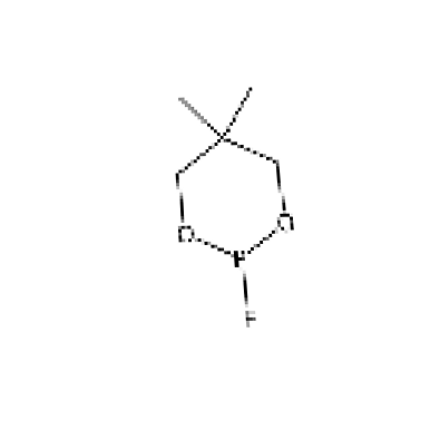 CC1(C)COP(F)OC1